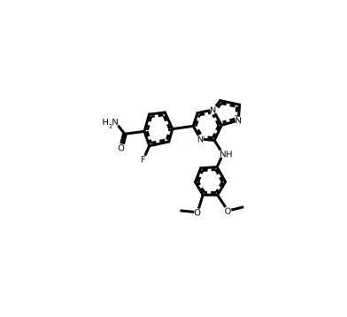 COc1ccc(Nc2nc(-c3ccc(C(N)=O)c(F)c3)cn3ccnc23)cc1OC